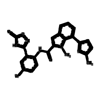 Cc1ccc(-c2cccc3cc(C(=O)Nc4ccc(Br)cc4-c4noc(=O)[nH]4)n(C)c23)s1